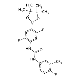 CC1(C)OB(c2cc(F)c(NC(=O)Nc3ccc(F)c(C(F)(F)F)c3)cc2F)OC1(C)C